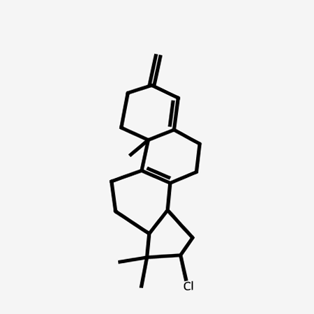 C=C1C=C2CCC3=C(CCC4C3CC(Cl)C4(C)C)C2(C)CC1